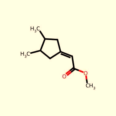 COC(=O)C=C1CC(C)C(C)C1